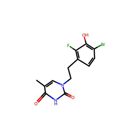 Cc1cn(CCc2ccc(Br)c(O)c2F)c(=O)[nH]c1=O